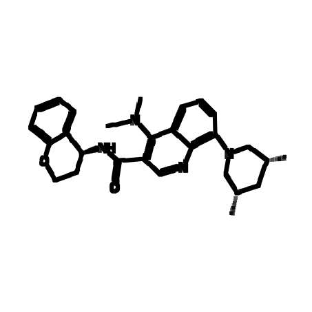 C[C@@H]1C[C@H](C)CN(c2cccc3c(N(C)C)c(C(=O)N[C@H]4CCOc5ccccc54)cnc23)C1